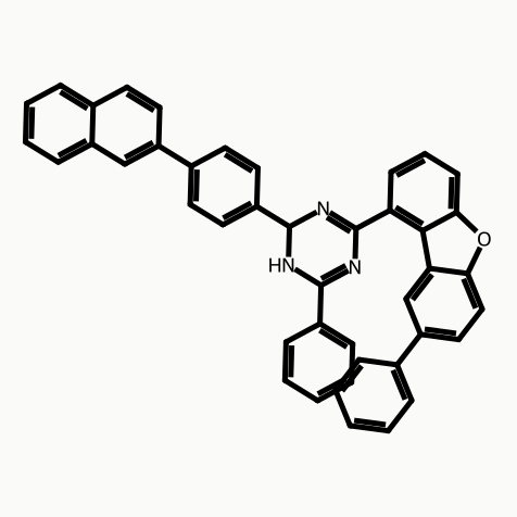 c1ccc(C2=NC(c3cccc4oc5ccc(-c6ccccc6)cc5c34)=NC(c3ccc(-c4ccc5ccccc5c4)cc3)N2)cc1